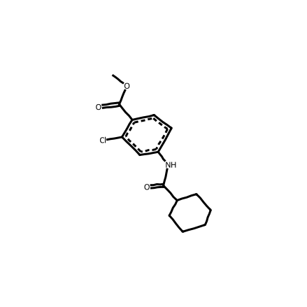 COC(=O)c1ccc(NC(=O)C2CCCCC2)cc1Cl